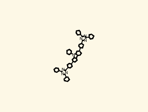 c1ccc(-c2nc(-c3ccccc3)nc(-c3ccc(-c4ccc5c6ccc(-c7ccc(-c8nc(-c9ccccc9)nc(-c9ccccc9)n8)cc7)cc6n(-c6ccccc6)c5c4)cc3)n2)cc1